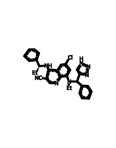 CC[C@@H](Nc1c(C#N)cnc2c(N(CC)C(c3ccccc3)c3c[nH]nn3)cc(Cl)cc12)c1ccccc1